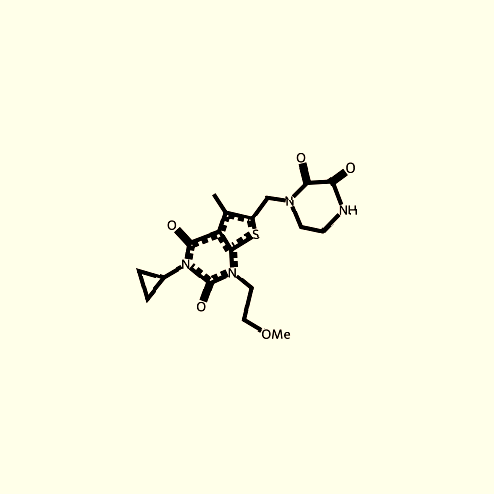 COCCn1c(=O)n(C2CC2)c(=O)c2c(C)c(CN3CCNC(=O)C3=O)sc21